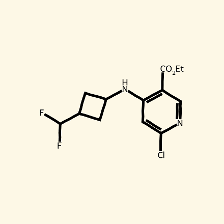 CCOC(=O)c1cnc(Cl)cc1NC1CC(C(F)F)C1